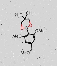 COCc1cc(OC)c(B2OCC(C)(C)CO2)c(OC)c1